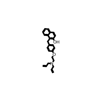 C=CCN(CC=C)CCOc1ccc(Cc2c(O)ccc3ccccc23)cc1